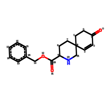 O=C1C=CC2(CC1)CCC(C(=O)OCc1ccccc1)NC2